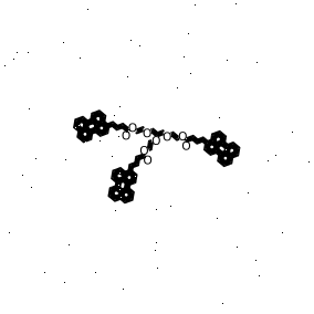 O=C(CCCc1ccc2c3cccc4cccc(c5cccc1c52)c43)OCCOCC(COCCOC(=O)CCCc1ccc2c3cccc4cccc(c5cccc1c52)c43)OCCOC(=O)CCCc1ccc2c3cccc4cccc(c5cccc1c52)c43